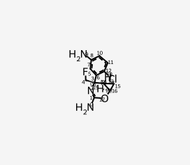 NC1=N[C@](CF)(c2cc(N)ccc2Cl)[C@H]2C[C@H]2O1